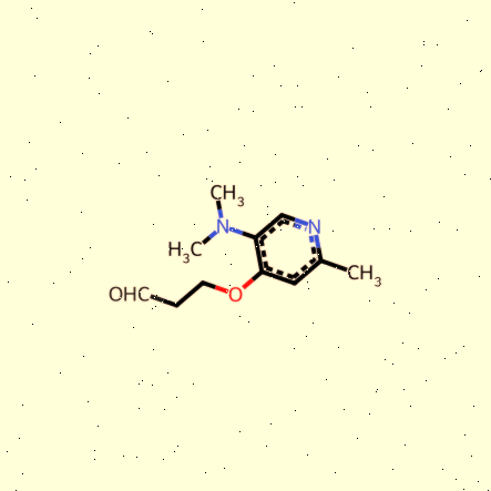 Cc1cc(OCCC=O)c(N(C)C)cn1